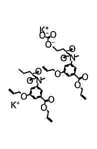 C=CCOC(=O)c1cc(OCC=C)cc(N(C)S(=O)(=O)CCC)c1.C=CCOC(=O)c1cc(OCC=C)cc(N(C)S(=O)(=O)CCC)c1.O=C([O-])[O-].[K+].[K+]